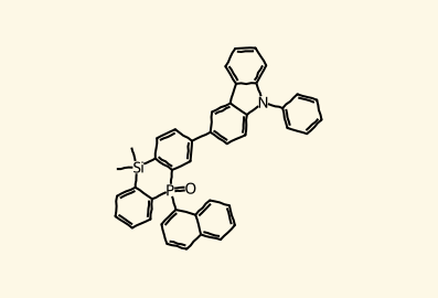 C[Si]1(C)c2ccccc2P(=O)(c2cccc3ccccc23)c2cc(-c3ccc4c(c3)c3ccccc3n4-c3ccccc3)ccc21